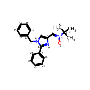 CC(C)(C)[N+]([O-])=Cc1cn(Cc2ccccc2)c(-c2ccccc2)n1